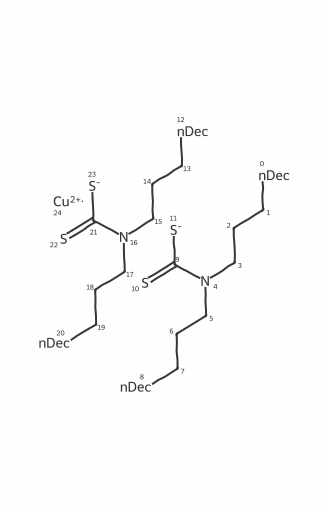 CCCCCCCCCCCCCN(CCCCCCCCCCCCC)C(=S)[S-].CCCCCCCCCCCCCN(CCCCCCCCCCCCC)C(=S)[S-].[Cu+2]